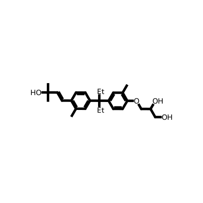 CCC(CC)(c1ccc(C=CC(C)(C)O)c(C)c1)c1ccc(OCC(O)CO)c(C)c1